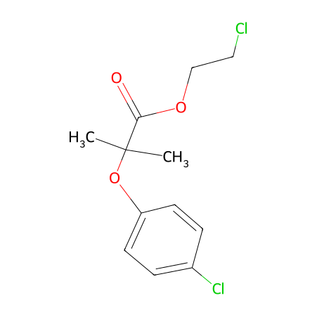 CC(C)(Oc1ccc(Cl)cc1)C(=O)OCCCl